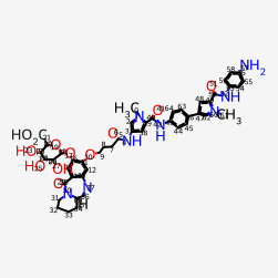 Cn1cc(NC(=O)CCCOc2cc3c(cc2O[C@@H]2O[C@H](C(=O)O)[C@@H](O)[C@H](O)[C@H]2O)C(=O)N2CCCC[C@H]2C=N3)cc1C(=O)Nc1ccc(-c2cc(C(=O)Nc3ccc(N)cc3)n(C)c2)cc1